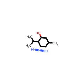 CC1CCC(C(C)C)C(O)C1.N=[N+]=N